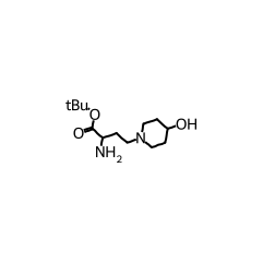 CC(C)(C)OC(=O)C(N)CCN1CCC(O)CC1